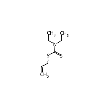 C=CCSC(=S)N(CC)CC